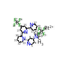 CN(C)c1ccncc1.F[B-](F)(F)F.F[B-](F)(F)F.[Pt+2].c1ccc(-c2cccc(-c3ccccn3)n2)nc1